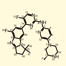 C[C@H]1CN(c2ccc(Nc3ncc(F)c(-c4cc(F)c5nc6n(c5c4)C(C)(C)CC6)n3)nc2)CCN1